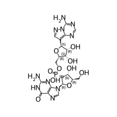 Nc1nc2c(ncn2[C@@H]2O[C@H](CO)[C@@H](O)[C@H]2P(=O)(O)OC[C@H]2O[C@@H](c3cnn4c(N)ncnc34)[C@H](O)[C@@H]2O)c(=O)[nH]1